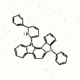 C1=CC(c2ccccc2)NC(n2c3ccccc3c3ccc4c(c5ccccc5n4-c4ccccc4)c32)=C1